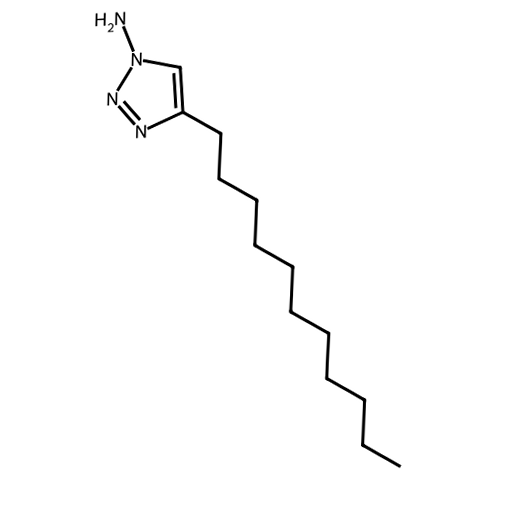 CCCCCCCCCCCc1cn(N)nn1